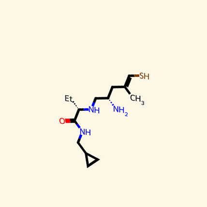 CC[C@H](NC[C@@H](N)C/C(C)=C/S)C(=O)NCC1CC1